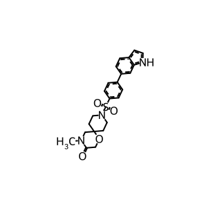 CN1CC2(CCN(S(=O)(=O)c3ccc(-c4ccc5cc[nH]c5c4)cc3)CC2)OCC1=O